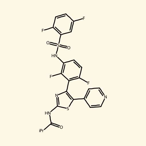 CC(C)C(=O)Nc1nc(-c2c(F)ccc(NS(=O)(=O)c3cc(F)ccc3F)c2F)c(-c2ccncc2)s1